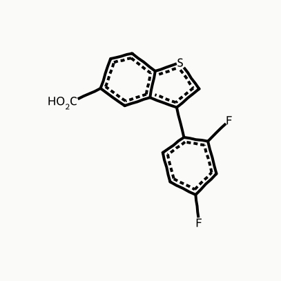 O=C(O)c1ccc2scc(-c3ccc(F)cc3F)c2c1